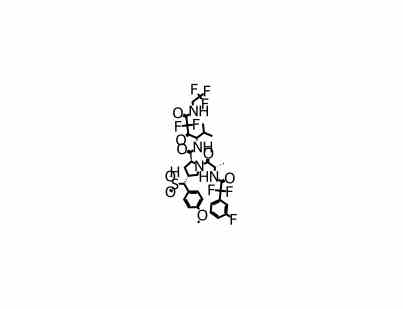 COc1ccc(C([C@@H]2C[C@@H](C(=O)N[C@H](C(=O)C(F)(F)C(=O)NCC(F)(F)F)C(C)C)N(C(=O)[C@H](C)NC(=O)C(F)(F)c3cccc(F)c3)C2)[SH](=O)=O)cc1